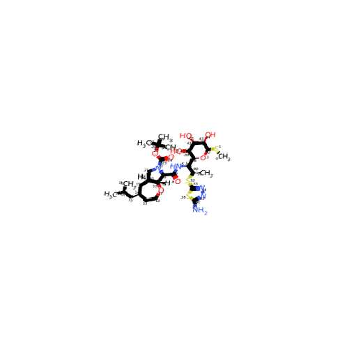 CSC1O[C@H]([C@H](NC(=O)C2[C@@H]3OCC[C@@H](CC(C)C)C[C@H]3CN2C(=O)OC(C)(C)C)[C@H](C)Sc2nnc(N)s2)C(O)[C@@H](O)[C@H]1O